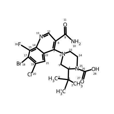 CC(C)(C)C1CN(c2c(C(N)=O)cnc3c(F)c(Br)c(Cl)cc23)CCN1C(=O)O